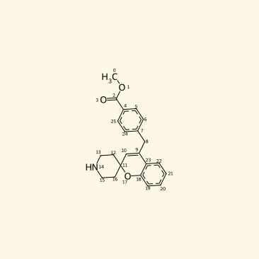 COC(=O)c1ccc(CC2=CC3(CCNCC3)Oc3ccccc32)cc1